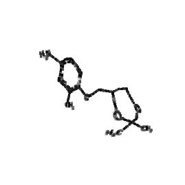 Cc1cc(N)ccc1OCC1COC(C)(C)O1